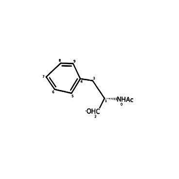 CC(=O)N[C@H]([C]=O)Cc1ccccc1